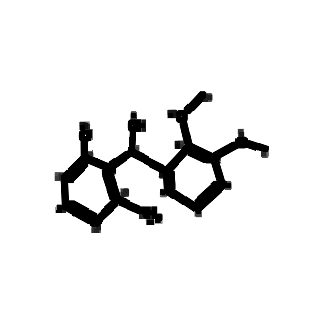 COc1cccc(C(O)c2c(N)cccc2Cl)c1OC